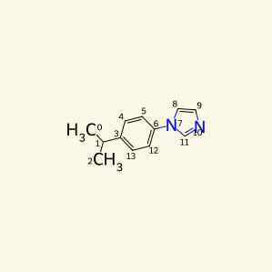 CC(C)c1ccc(-n2ccnc2)cc1